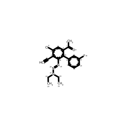 C#Cc1c(Cl)cc(C(C)=O)c(-c2cccc(F)c2)c1N=NN(CC)CC